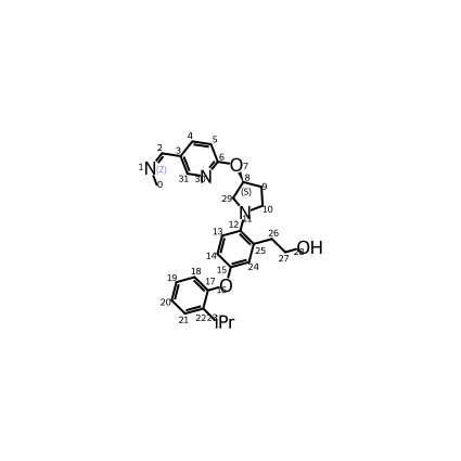 C/N=C\c1ccc(O[C@H]2CCN(c3ccc(Oc4ccccc4C(C)C)cc3CCO)C2)nc1